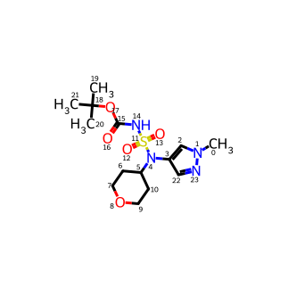 Cn1cc(N(C2CCOCC2)S(=O)(=O)NC(=O)OC(C)(C)C)cn1